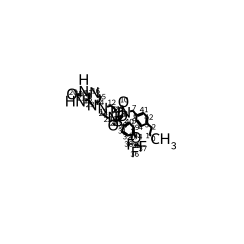 CCCc1ccc(CNC(=O)[C@H]2CN(c3cnc4[nH]c(=O)[nH]c4n3)CCN2S(=O)(=O)c2ccc(OC(F)(F)F)cc2)cc1